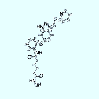 O=C(CCCCC(=O)Nc1ccccc1Sc1ccc2c(/C=C/c3ccccn3)n[nH]c2c1)NO